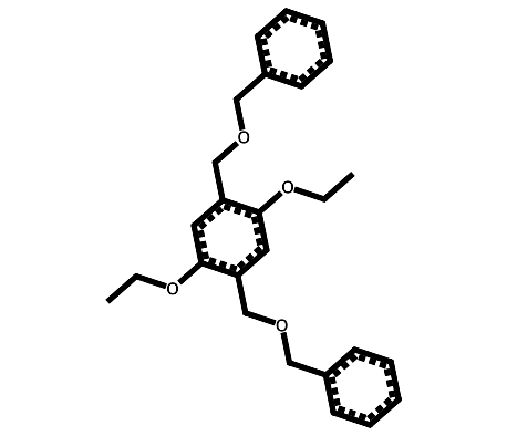 CCOc1cc(COCc2ccccc2)c(OCC)cc1COCc1ccccc1